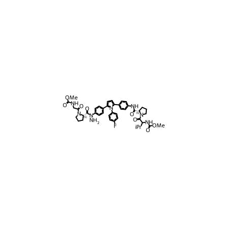 COC(=O)NCC(=O)N1CCC[C@H]1C(=O)N(N)c1ccc(-c2ccc(-c3ccc(NC(=O)[C@@H]4CCCN4C(=O)C(NC(=O)OC)C(C)C)cc3)n2-c2ccc(F)cc2)cc1